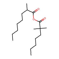 CCCCCCC(C)C(=O)OC(=O)C(C)(C)CCCCC